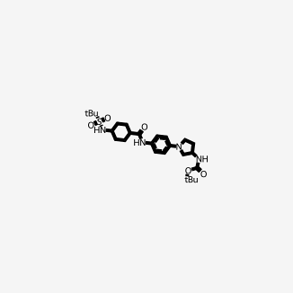 CC(C)(C)OC(=O)NC1CCN(c2ccc(NC(=O)C3CCC(NS(=O)(=O)C(C)(C)C)CC3)cc2)C1